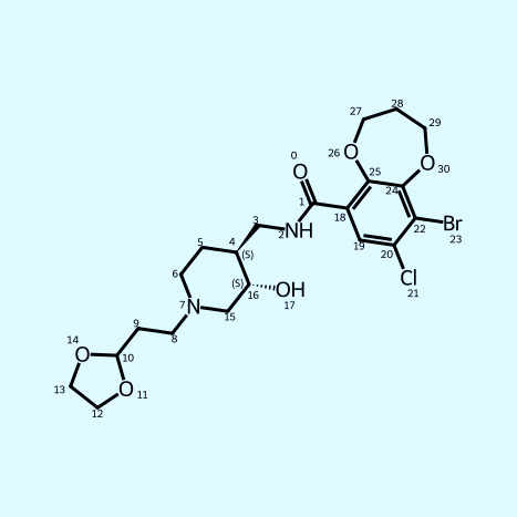 O=C(NC[C@@H]1CCN(CCC2OCCO2)C[C@H]1O)c1cc(Cl)c(Br)c2c1OCCCO2